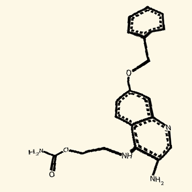 NC(=O)OCCNc1c(N)cnc2cc(OCc3ccccc3)ccc12